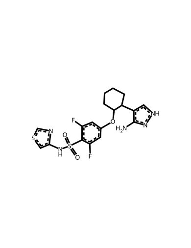 Nc1n[nH]cc1C1CCCCC1Oc1cc(F)c(S(=O)(=O)Nc2cscn2)c(F)c1